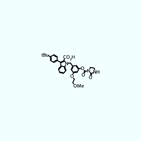 COCCOc1cc(Cn2c(C(=O)O)c(-c3ccc(C(C)(C)C)cc3)c3ccccc32)cc(OC(=O)N2CCNC2=O)c1